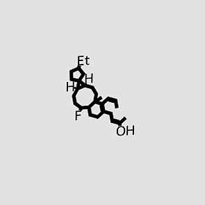 C/C=C\C1=C(C/C=C(\C)O)CCC2C(F)CC[C@H]3[C@H](CCC12C)C31CCC(CC)C1